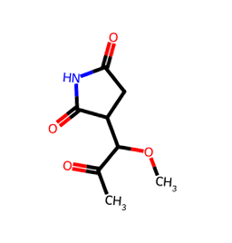 COC(C(C)=O)C1CC(=O)NC1=O